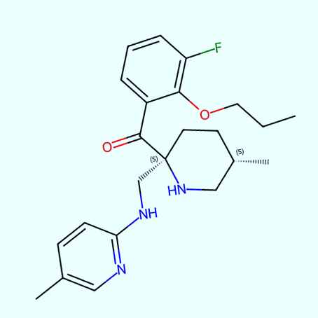 CCCOc1c(F)cccc1C(=O)[C@@]1(CNc2ccc(C)cn2)CC[C@H](C)CN1